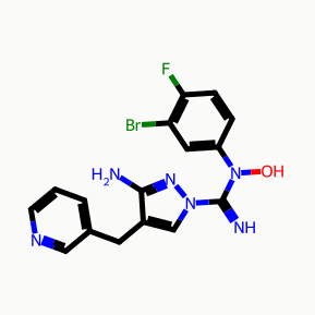 N=C(N(O)c1ccc(F)c(Br)c1)n1cc(Cc2cccnc2)c(N)n1